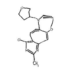 Cc1nc(Cl)c2cc3c(cc2n1)OC=CN3C1CCOC1